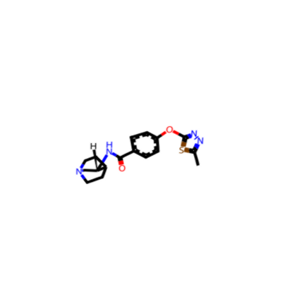 Cc1nnc(Oc2ccc(C(=O)N[C@H]3CN4CCC3CC4)cc2)s1